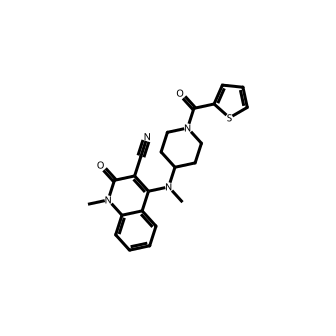 CN(c1c(C#N)c(=O)n(C)c2ccccc12)C1CCN(C(=O)c2cccs2)CC1